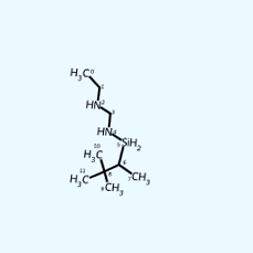 CCNCN[SiH2]C(C)C(C)(C)C